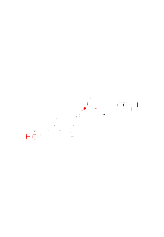 O=C(O)CO[C@H]1C[C@H](O)C1